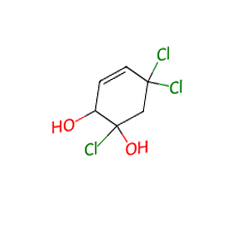 OC1C=CC(Cl)(Cl)CC1(O)Cl